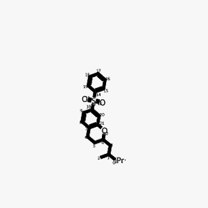 C[C](C)C(C)CC1CCc2ccc(S(=O)(=O)c3ccccc3)cc2O1